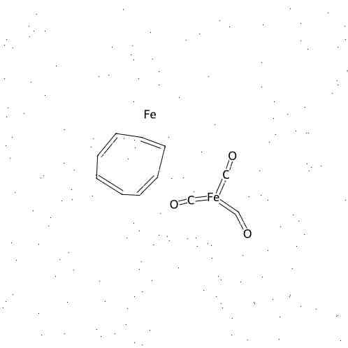 C1=CC=CC=CC=C1.O=[C]=[Fe](=[C]=O)=[C]=O.[Fe]